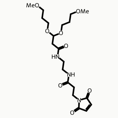 COCCCOC(CC(=O)NCCNC(=O)CCN1C(=O)C=CC1=O)OCCCOC